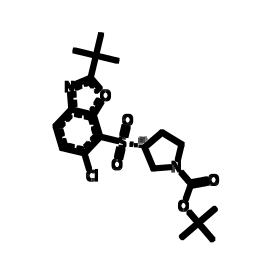 CC(C)(C)OC(=O)N1CC[C@@H](S(=O)(=O)c2c(Cl)ccc3nc(C(C)(C)C)oc23)C1